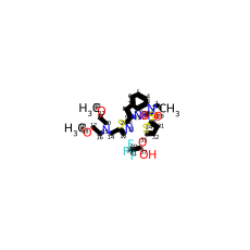 CCN(c1cccc2cc(-c3ncc(CN(CCOC)CCOC)s3)[nH]c12)S(=O)(=O)c1cccs1.O=C(O)C(F)(F)F